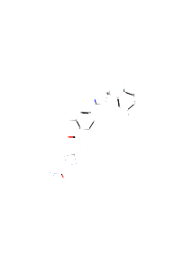 Cc1cc(C2=NO[C@@](c3cc(C(F)(F)F)cc(Cl)c3F)(C(F)(F)F)C2)ccc1C(=O)NC1CN(C(N)=O)C1